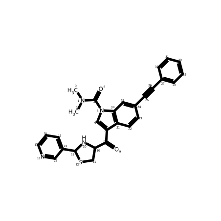 CN(C)C(=O)n1cc(C(=O)C2CSC(c3cccnc3)N2)c2ccc(C#Cc3ccccc3)cc21